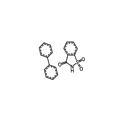 O=C1NS(=O)(=O)c2ccccc21.c1ccc(-c2ccccc2)cc1